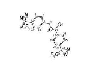 O=C(OCc1ccc(C2(C(F)(F)F)N=N2)cc1)c1ccc(C2(C(F)(F)F)N=N2)cc1